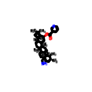 C[C@H]1[C@H](C)CC[C@]2(CN)CC[C@]3(C)C(=CC[C@@H]4[C@@]5(C)C[C@H](OC(=O)c6cccnc6)C6C(C)(C)CC6(C)[C@@H]5CC[C@]43C)[C@H]12